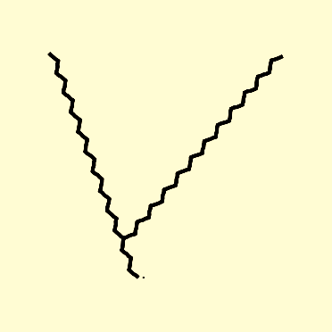 [CH2]CCCC(CCCCCCCCCCCCCCCCCCC)CCCCCCCCCCCCCCCCCCCCCCC